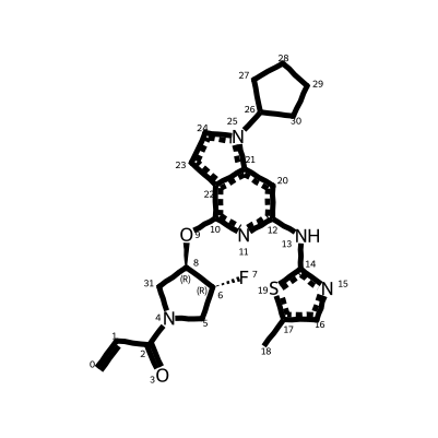 C=CC(=O)N1C[C@@H](F)[C@H](Oc2nc(Nc3ncc(C)s3)cc3c2ccn3C2CCCC2)C1